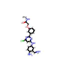 CC(C)NC(=O)COc1cccc(-c2nc(Cl)cc(Nc3ccc(N)c(C=N)c3)n2)c1